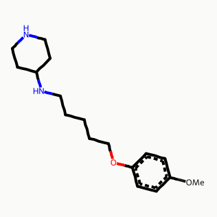 COc1ccc(OCCCCCNC2CCNCC2)cc1